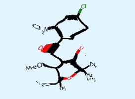 COC1=C(C(=O)c2ccc(Cl)cc2[N+](=O)[O-])C(=O)C(C)(C)OC1(C)C